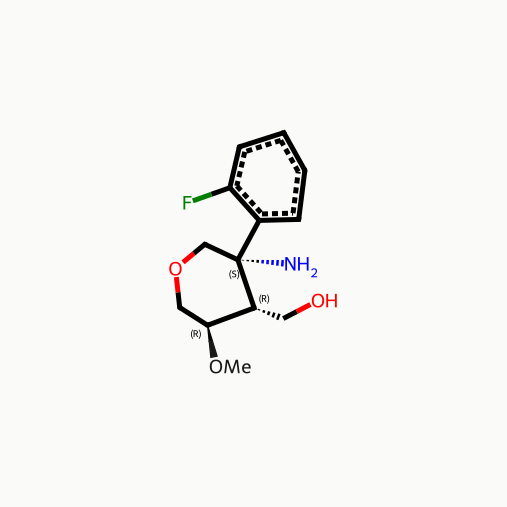 CO[C@H]1COC[C@@](N)(c2ccccc2F)[C@@H]1CO